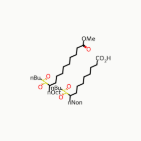 CCCCCCCCC(CCCCCCCCC(=O)OC)S(=O)(=O)CCCC.CCCCCCCCCC(CCCCCCCC(=O)O)S(=O)(=O)CCCC